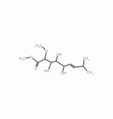 COC(=O)C(OC)C(O)C(O)C(O)/C=C/C(C)C